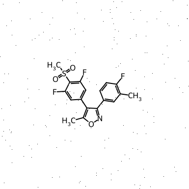 Cc1cc(-c2noc(C)c2-c2cc(F)c(S(C)(=O)=O)c(F)c2)ccc1F